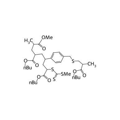 CCCCOC(=O)C(C)CSCc1ccc(C(CC(CC(C)C(=O)OC)C(=O)OCCCC)CC(SC(=S)SC)C(=O)OCCCC)cc1